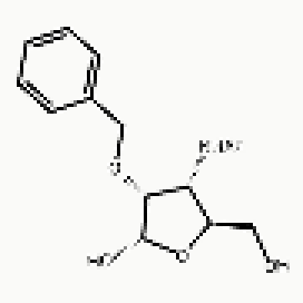 CC(=O)N[C@H]1[C@@H](OCc2ccccc2)[C@@H](O)O[C@@H]1CO